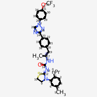 CCCc1ccc(C)cc1N1CCS/C1=N\C(=O)N/C(C)=C/c1ccc(-c2ncn(-c3ccc(OC(F)(F)F)cc3)n2)cc1